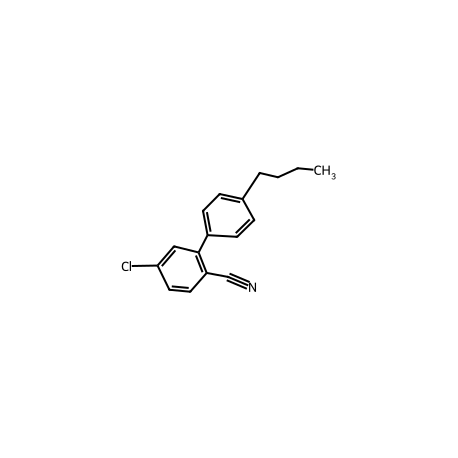 CCCCc1ccc(-c2cc(Cl)ccc2C#N)cc1